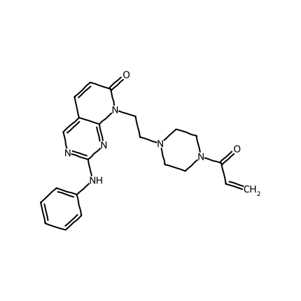 C=CC(=O)N1CCN(CCn2c(=O)ccc3cnc(Nc4ccccc4)nc32)CC1